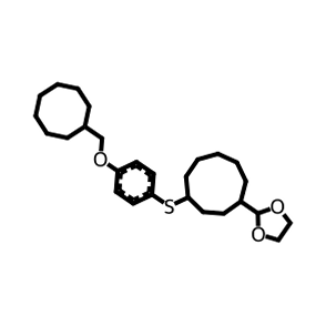 c1cc(SC2CCCCCC(C3OCCO3)CC2)ccc1OCC1CCCCCCC1